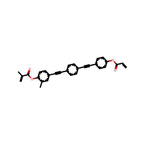 C=CC(=O)Oc1ccc(C#Cc2ccc(C#Cc3ccc(OC(=O)C(=C)C)c(C)c3)cc2)cc1